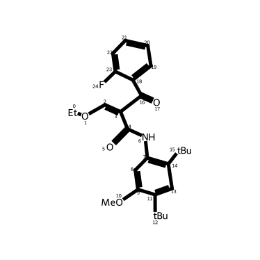 CCO/C=C(\C(=O)Nc1cc(OC)c(C(C)(C)C)cc1C(C)(C)C)C(=O)c1ccccc1F